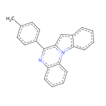 Cc1ccc(-c2nc3ccccc3n3c2cc2ccccc23)cc1